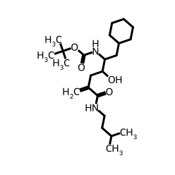 C=C(CC(O)C(CC1CCCCC1)NC(=O)OC(C)(C)C)C(=O)NCCC(C)C